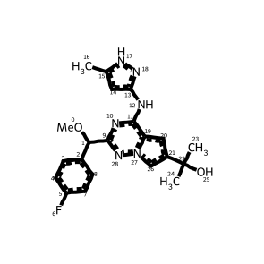 COC(c1ccc(F)cc1)c1nc(Nc2cc(C)[nH]n2)c2cc(C(C)(C)O)cn2n1